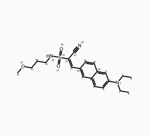 CCN(CC)c1ccc2cc(/C=C(\C#N)S(=O)(=O)NCCCOC)ccc2c1